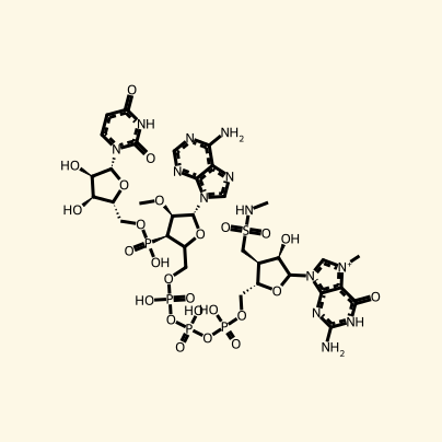 CNS(=O)(=O)C[C@@H]1[C@@H](COP(=O)(O)OP(=O)(O)OP(=O)(O)OCC2O[C@@H](n3cnc4c(N)ncnc43)[C@H](OC)[C@@H]2P(=O)(O)OC[C@H]2O[C@@H](n3ccc(=O)[nH]c3=O)[C@H](O)[C@@H]2O)OC(n2c[n+](C)c3c(=O)[nH]c(N)nc32)[C@@H]1O